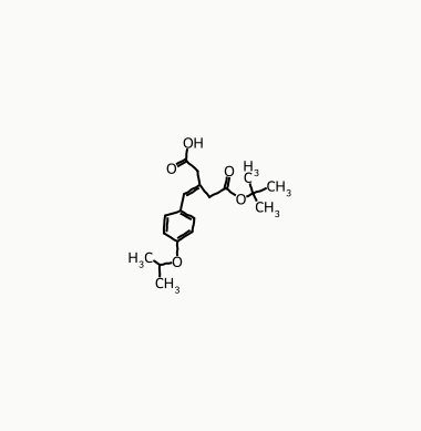 CC(C)Oc1ccc(/C=C(/CC(=O)O)CC(=O)OC(C)(C)C)cc1